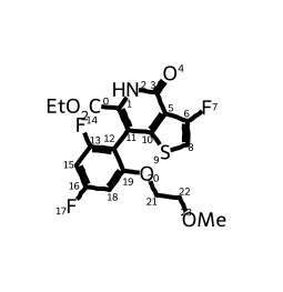 CCOC(=O)c1[nH]c(=O)c2c(F)csc2c1-c1c(F)cc(F)cc1OCCOC